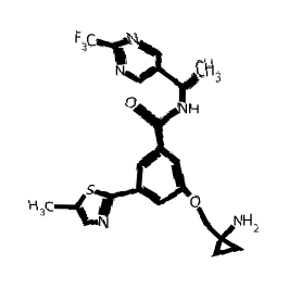 Cc1cnc(-c2cc(OCC3(N)CC3)cc(C(=O)NC(C)c3cnc(C(F)(F)F)nc3)c2)s1